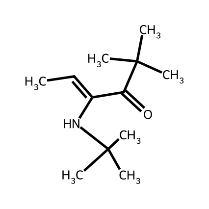 CC=C(NC(C)(C)C)C(=O)C(C)(C)C